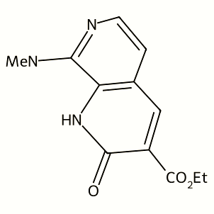 CCOC(=O)c1cc2ccnc(NC)c2[nH]c1=O